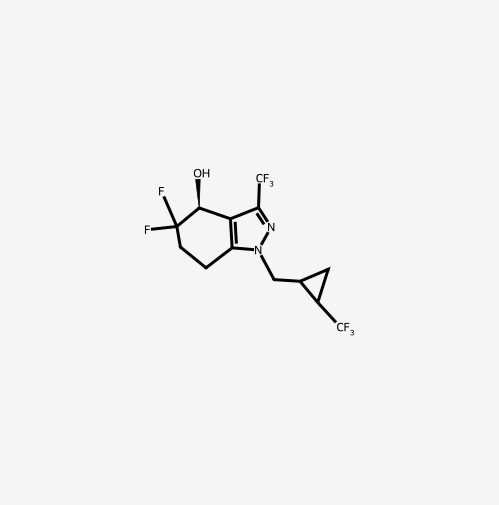 O[C@H]1c2c(C(F)(F)F)nn(CC3CC3C(F)(F)F)c2CCC1(F)F